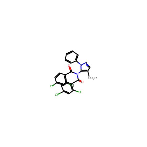 CCOC(=O)c1cnn(-c2ccccc2)c1N(C(=O)c1ccc(Cl)cc1Cl)C(=O)c1ccc(Cl)cc1Cl